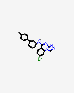 Cc1ccc(-c2cccc(N(C)c3nc4nncn4c4cc(Br)ccc34)c2)cc1